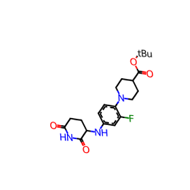 CC(C)(C)OC(=O)C1CCN(c2ccc(NC3CCC(=O)NC3=O)cc2F)CC1